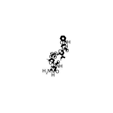 COP(=O)(OC[C@H]1O[C@@H](n2cc3c(nc2=O)Nc2ccccc2O3)C[C@@H]1C(C)I)O[C@H]1C[C@H](n2c(=O)[nH]c3c(=O)[nH]c(N)nc32)O[C@@H]1C